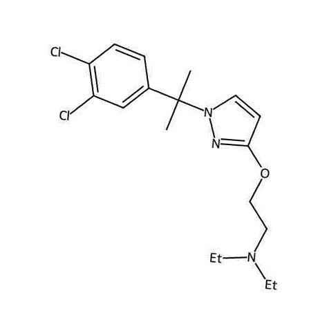 CCN(CC)CCOc1ccn(C(C)(C)c2ccc(Cl)c(Cl)c2)n1